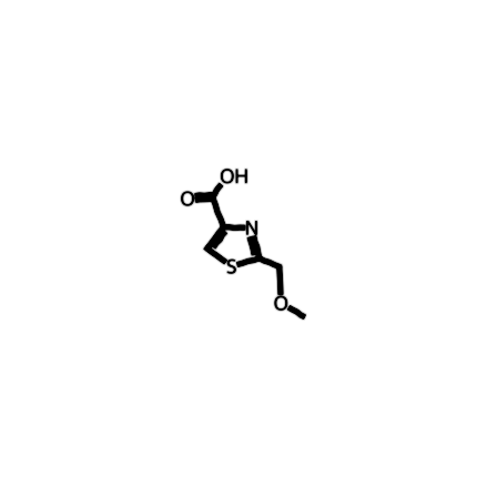 COCc1nc(C(=O)O)cs1